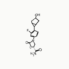 NC(=O)[C@H]1CN(c2ccc(C3C4CC(O)CC43)c(F)c2)C(=O)O1